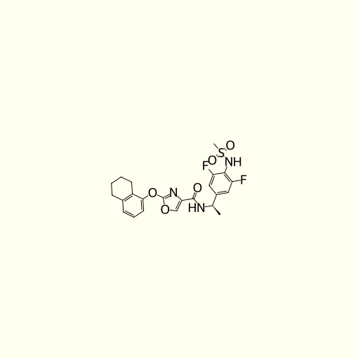 C[C@@H](NC(=O)c1coc(Oc2cccc3c2CCCC3)n1)c1cc(F)c(NS(C)(=O)=O)c(F)c1